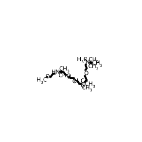 COCCCNC(C)(C)CCOCCOCCN(C)C(C)(C)CCOCCCN(C)C(C)(C)C